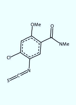 CNC(=O)c1cc(N=C=S)c(Cl)cc1OC